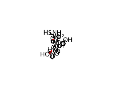 CC(C)C[C@H](NC(=O)[C@H](Cc1ccc(O)cc1)NC(=O)[C@@H]1CCCN1C(=O)[C@@H]1CCCN1C(=O)[C@@H](N)CS)C(=O)N1CCC[C@H]1C(=O)O